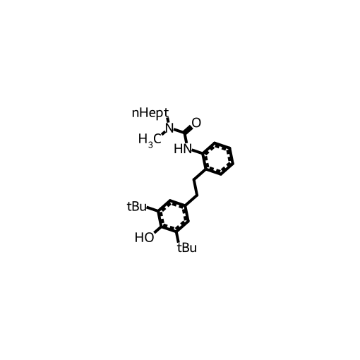 CCCCCCCN(C)C(=O)Nc1ccccc1CCc1cc(C(C)(C)C)c(O)c(C(C)(C)C)c1